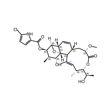 CO[C@H]1C[C@H]2C=C[C@H]3[C@H]4O[C@]2(/C(C)=C/[C@@H](C)[C@@H]([C@@H](C)O)OC1=O)[C@@H]3[C@H](O)[C@@H](C)[C@H]4OC(=O)c1ccc(Cl)[nH]1